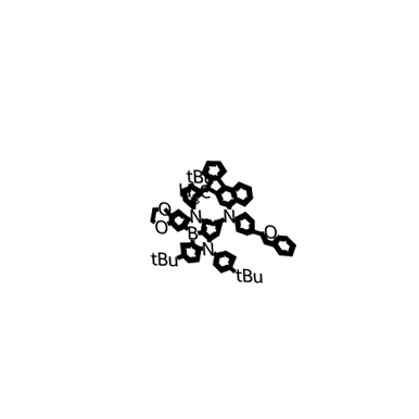 CC(C)(C)c1ccc(N2c3ccc(C(C)(C)C)cc3B3c4cc5c(cc4N4c6ccc(C(C)(C)C)c(c6)C6(C)c7ccccc7-c7c6cc(c6ccccc76)N(c6ccc(-c7cc8ccccc8o7)cc6)c6cc2c3c4c6)OCCO5)cc1